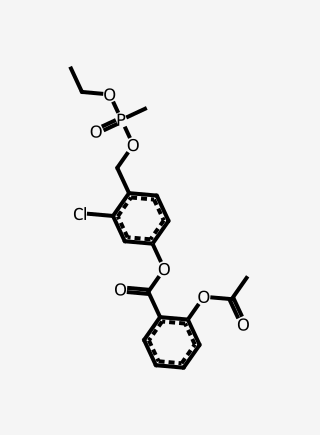 CCOP(C)(=O)OCc1ccc(OC(=O)c2ccccc2OC(C)=O)cc1Cl